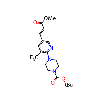 COC(=O)C=Cc1cnc(N2CCN(C(=O)OC(C)(C)C)CC2)c(C(F)(F)F)c1